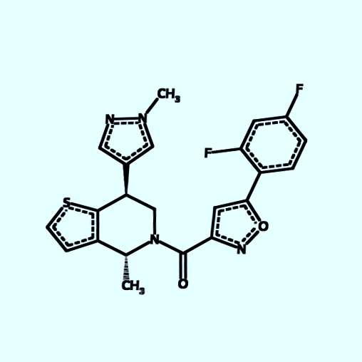 C[C@@H]1c2ccsc2[C@@H](c2cnn(C)c2)CN1C(=O)c1cc(-c2ccc(F)cc2F)on1